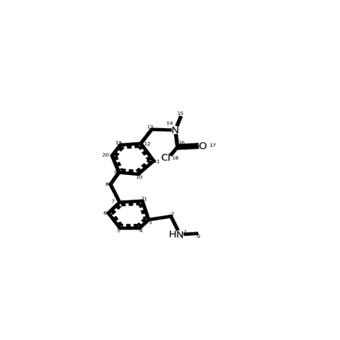 CNCc1cccc(Cc2ccc(CN(C)C(=O)Cl)cc2)c1